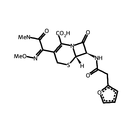 CNC(=O)C(=NOC)C1=C(C(=O)O)N2C(=O)[C@@H](NC(=O)Cc3ccco3)[C@@H]2SC1